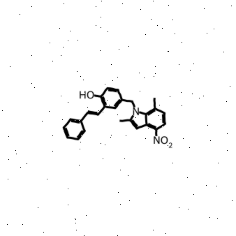 Cc1ccc([N+](=O)[O-])c2cc(C)n(Cc3ccc(O)c(C=Cc4ccccc4)c3)c12